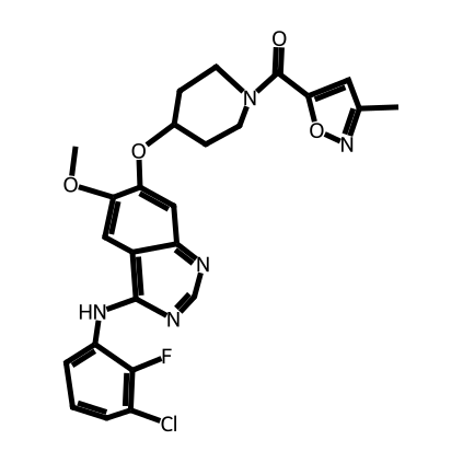 COc1cc2c(Nc3cccc(Cl)c3F)ncnc2cc1OC1CCN(C(=O)c2cc(C)no2)CC1